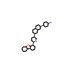 Ic1ccc(-c2ccc3ccc(-c4ccc(-c5cccc6c5oc5ccccc56)nc4)cc3c2)cc1